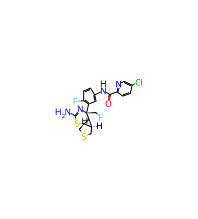 NC1=N[C@](CF)(c2cc(NC(=O)c3ccc(Cl)cn3)ccc2F)[C@H]2[C@H]3CSC[C@]32S1